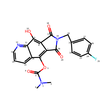 CN(C)C(=O)Oc1c2c(c(O)c3ncccc13)C(=O)N(Cc1ccc(F)cc1)C2=O